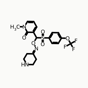 Cn1cccc(C(ON=C2CCNCC2)S(=O)(=O)c2ccc(OC(F)(F)F)cc2)c1=O